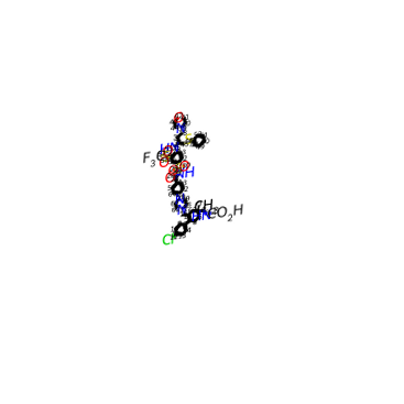 C[C@@]1(CNC(=O)O)CCC(c2ccc(Cl)cc2)=C(CN2CCN(c3ccc(C(=O)NS(=O)(=O)c4ccc(NC(CCN5CCOCC5)CSc5ccccc5)c(S(=O)(=O)C(F)(F)F)c4)cc3)CC2)C1